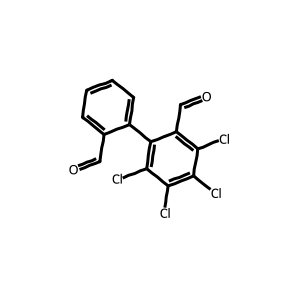 O=Cc1ccccc1-c1c(Cl)c(Cl)c(Cl)c(Cl)c1C=O